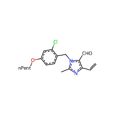 C=Cc1nc(C)n(Cc2ccc(OCCCCC)cc2Cl)c1C=O